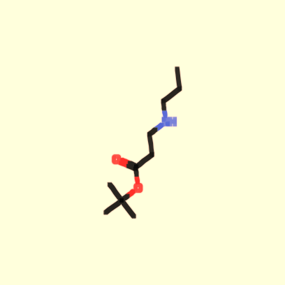 CCCNCCC(=O)OC(C)(C)C